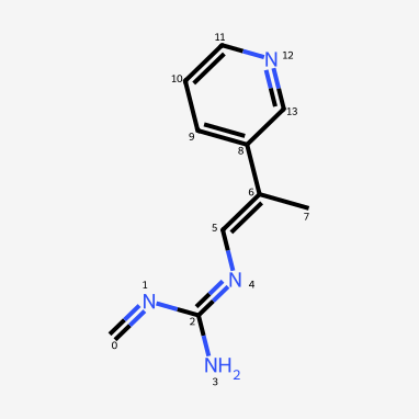 C=N/C(N)=N\C=C(/C)c1cccnc1